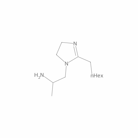 CCCCCCCC1=NCCN1CC(C)N